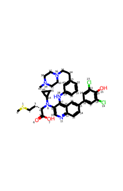 CSCC[C@@H](C(=O)O)N(c1cnc2ccc(-c3cc(Cl)c(O)c(Cl)c3)cc2c1Nc1cccc(CCN2CCN(C)CC2)c1)C1CC1